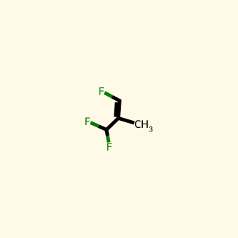 CC(=CF)C(F)F